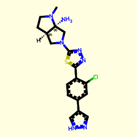 CN1CC[C@@H]2CN(c3nnc(-c4ccc(-c5cn[nH]c5)cc4Cl)s3)C[C@@]21N